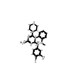 COc1ccccc1N1C(N2CCOCC2)=NC(N)=NC1Nc1ccc(F)c(Cl)c1